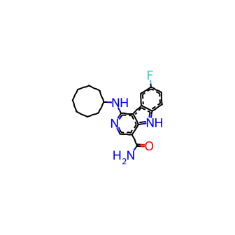 NC(=O)c1cnc(NC2CCCCCCC2)c2c1[nH]c1ccc(F)cc12